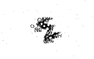 COC(=O)C(C(=O)OC)c1cc(-c2cn(C)nc2COCC(C)N(C)C(=O)c2cc(C)[nH]c2C=O)cc(C#N)c1[N+](=O)[O-]